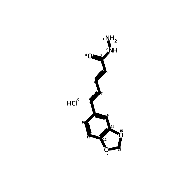 Cl.NNC(=O)C=CC=Cc1ccc2c(c1)OCO2